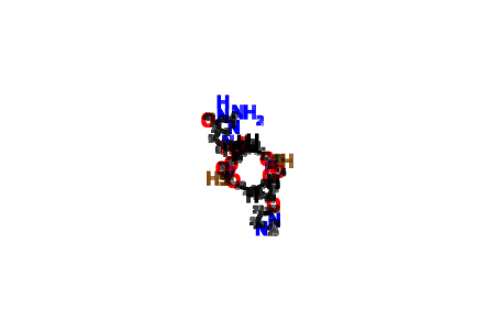 Nc1nc2c(ccn2[C@@H]2O[C@@H]3COP(=O)(S)O[C@H]4C[C@H](Oc5ccncn5)C[C@@H]4CCOP(=O)(S)O[C@@H]2[C@@H]3O)c(=O)[nH]1